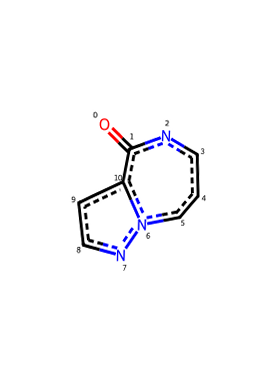 O=c1ncccn2nccc12